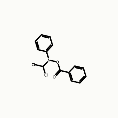 O=C(ON(c1ccccc1)C(Cl)Cl)c1ccccc1